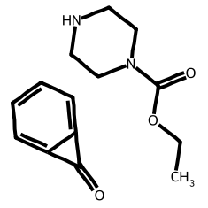 CCOC(=O)N1CCNCC1.O=c1c2ccccc12